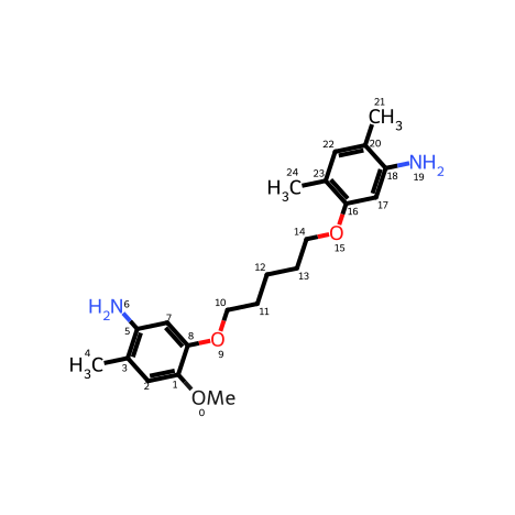 COc1cc(C)c(N)cc1OCCCCCOc1cc(N)c(C)cc1C